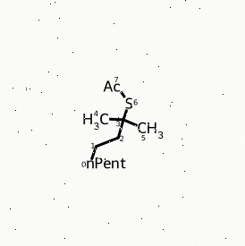 CCCCCCCC(C)(C)SC(C)=O